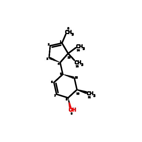 CC1=CC[C@@H]([C@H]2C=C[C@@H](O)[C@H](C)C2)C1(C)C